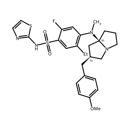 CCc1cc(S(=O)(=O)Nc2nccs2)c(F)cc1N(C)[C@@]12CCCN1C[C@@H](Cc1ccc(OC)cc1)C2